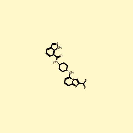 O=C(N[C@H]1CC[C@@H](Nc2cccc3nc(C(F)F)cn23)CC1)c1cccc2cn[nH]c12